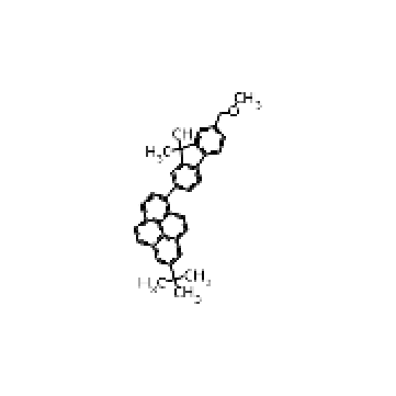 COCc1ccc2c(c1)C(C)(C)c1cc(-c3ccc4ccc5cc(C(C)(C)C)cc6ccc3c4c56)ccc1-2